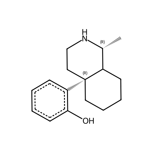 C[C@H]1NCC[C@]2(c3ccccc3O)CCCCC12